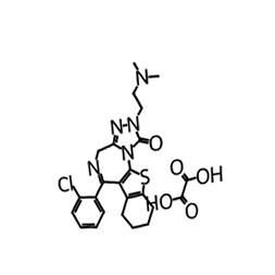 CN(C)CCn1nc2n(c1=O)-c1sc3c(c1C(c1ccccc1Cl)=NC2)CCCC3.O=C(O)C(=O)O